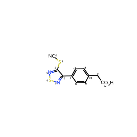 N#CSc1nsnc1-c1ccc(CC(=O)O)cc1